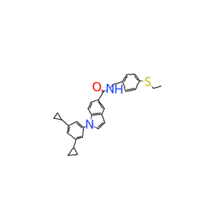 CCSc1ccc(CNC(=O)c2ccc3c(ccn3-c3cc(C4CC4)cc(C4CC4)c3)c2)cc1